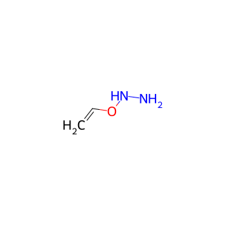 C=CONN